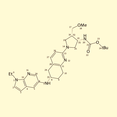 CCn1ccc2cc(N[C@H]3CCc4nc(N5C[C@H](COC)[C@H](NC(=O)OC(C)(C)C)C5)ccc4C3)cnc21